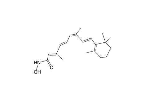 CC1=C(/C=C/C(C)=C\C=C\C(C)=C\C(=O)NO)C(C)(C)CCC1